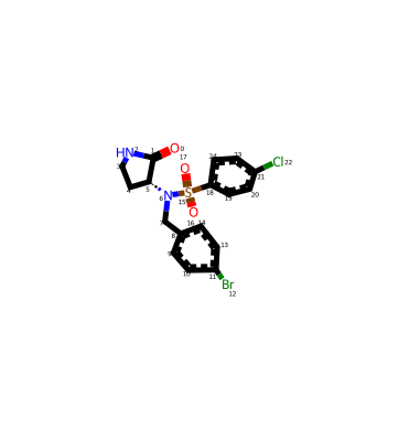 O=C1NCC[C@H]1N(Cc1ccc(Br)cc1)S(=O)(=O)c1ccc(Cl)cc1